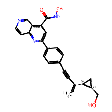 C=C(C#Cc1ccc(-c2cc(C(=O)NO)c3cnccc3n2)cc1)[C@@H]1C[C@H]1CO